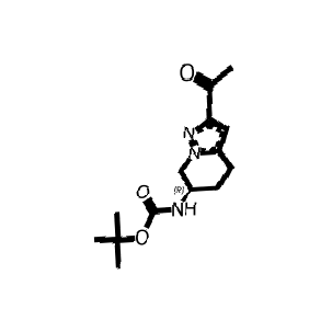 CC(=O)c1cc2n(n1)C[C@H](NC(=O)OC(C)(C)C)CC2